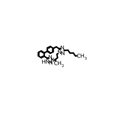 C=CCCn1nc(CCCCC)nc1Cc1ccc(-c2ccccc2-c2nnn[nH]2)cc1